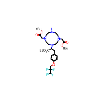 CCOC(=O)C(Cc1ccc(OCC(F)(F)C(F)F)cc1)N1CCN(CC(=O)OC(C)(C)C)CCNCCN(CC(=O)OC(C)(C)C)CC1